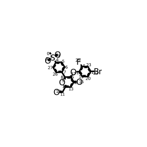 CS(=O)(=O)c1ccc(-c2oc(C=O)cc(=O)c2Oc2ccc(Br)cc2F)cc1